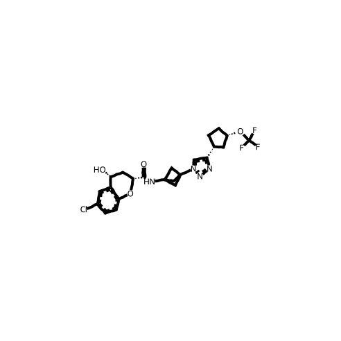 O=C(NC12CC(n3cc([C@@H]4CC[C@H](OC(F)(F)F)C4)nn3)(C1)C2)[C@H]1C[C@@H](O)c2cc(Cl)ccc2O1